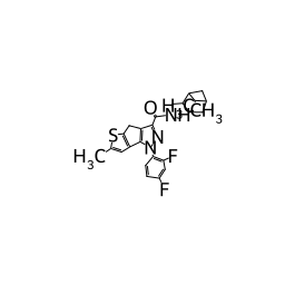 Cc1cc2c(s1)Cc1c(C(=O)NCC3CCC4CC3C4(C)C)nn(-c3ccc(F)cc3F)c1-2